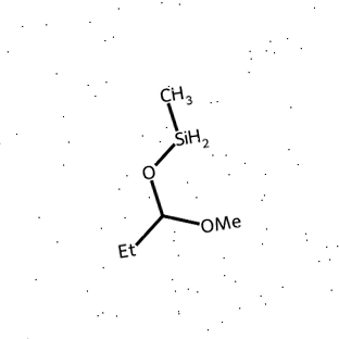 CCC(OC)O[SiH2]C